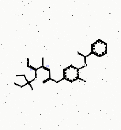 C=C(/C=C(C)\C(=C/C)OC(C)(CC)CC)Cc1ccc(OC(I)c2ccccc2)c(C)c1